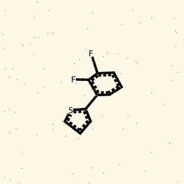 Fc1cccc(-c2cc[c]s2)c1F